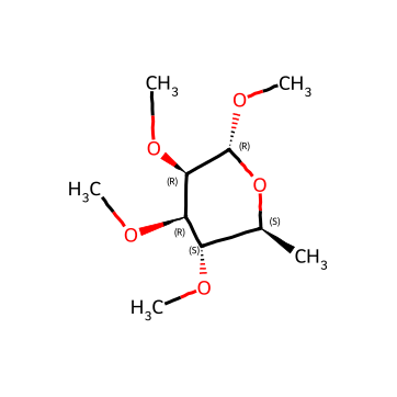 CO[C@@H]1O[C@@H](C)[C@H](OC)[C@@H](OC)[C@H]1OC